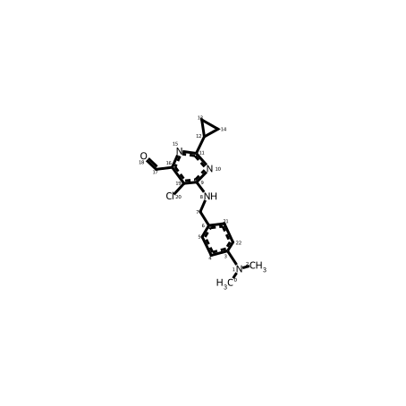 CN(C)c1ccc(CNc2nc(C3CC3)nc(C=O)c2Cl)cc1